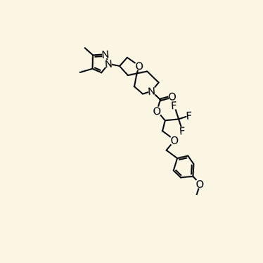 COc1ccc(COCC(OC(=O)N2CCC3(CC2)CC(n2cc(C)c(C)n2)CO3)C(F)(F)F)cc1